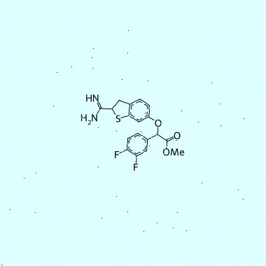 COC(=O)C(Oc1ccc2c(c1)SC(C(=N)N)C2)c1ccc(F)c(F)c1